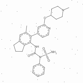 Cc1cc2c(c(NC(=O)N(c3ccccc3)S(N)(=O)=O)c1-c1ccnc(OC3CCN(C)CC3)c1)CCC2